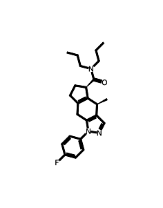 CCCN(CCC)C(=O)[C@@H]1CCC2=C1[C@@H](C)c1cnn(-c3ccc(F)cc3)c1C2